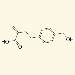 C=C(CCc1ccc(CO)cc1)C(=O)O